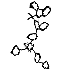 CC1(C)c2cc(-c3ccc(-c4nc(-c5ccccc5)nc(-c5ccc(-c6ccccc6)cc5)n4)cc3)c3ccccc3c2-c2c1c1ccccc1c1ccccc21